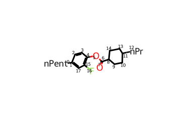 CCCCCc1ccc(OC(=O)C2CCC(CCC)CC2)c(F)c1